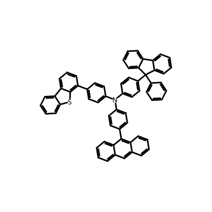 c1ccc(C2(c3ccc(N(c4ccc(-c5c6ccccc6cc6ccccc56)cc4)c4ccc(-c5cccc6c5sc5ccccc56)cc4)cc3)c3ccccc3-c3ccccc32)cc1